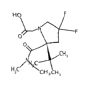 CN(C)C(=O)[C@@]1(C(C)(C)C)CC(F)(F)CN1C(=O)O